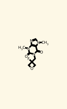 Cn1cnc2c1c(=O)n(CC1(F)COC1)c(=O)n2C